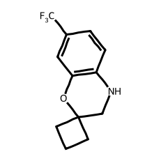 FC(F)(F)c1ccc2c(c1)OC1(CCC1)CN2